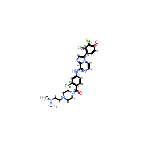 CN(C)CCN1CCN(C(=O)c2ccc(Nc3nccn4c(-c5ccc(O)c(F)c5Cl)cnc34)cc2Cl)CC1